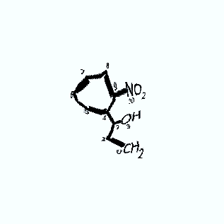 C=CC(O)c1ccccc1[N+](=O)[O-]